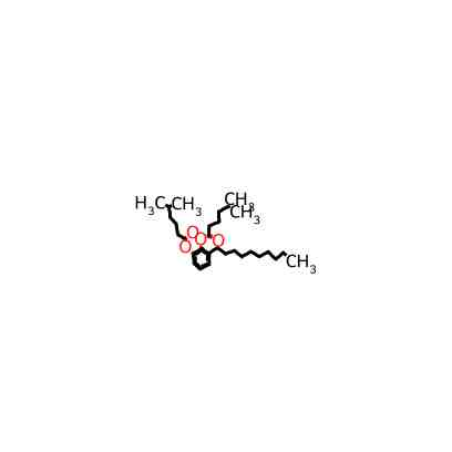 CCCCCCCCCCc1cccc(OC(=O)CCCC(C)C)c1OC(=O)CCCC(C)C